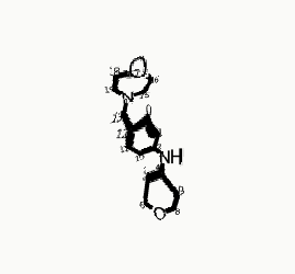 c1cc(NC2CCOCC2)ccc1CN1CCOCC1